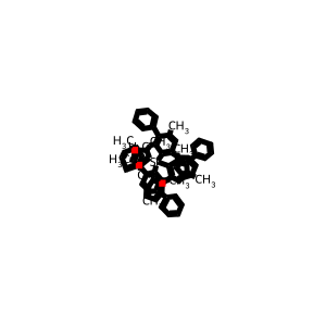 CC1=C(C)C(C)C([Si](c2c(-c3ccccc3)cc(C)c(-c3ccccc3)c2C)(c2c(-c3ccccc3)cc(C)c(-c3ccccc3)c2C)c2c(-c3ccccc3)cc(C)c(-c3ccccc3)c2C)=C1C